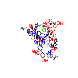 CC(C)C[C@H](N)C(=O)N[C@H]1C(=O)N[C@@H](CC(N)=O)C(=O)N[C@H]2C(=O)NC3C(=O)N[C@H](C(=O)N[C@H](C(=O)O)c4cc(O)cc(O)c4-c4cc3ccc4O)[C@H](O)c3ccc(c(Cl)c3)Oc3cc2cc(c3OC2O[C@H](CO)[C@@H](O)[C@H](O)C2O[C@H]2C[C@](C)(NCc3ccc(-c4ccccc4)cc3)[C@H](O)[C@H](C)O2)Oc2ccc(cc2Cl)[C@H]1O